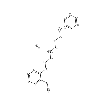 CCOc1ccccc1OCCNCCCOc1ccccc1.Cl